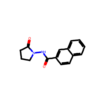 O=C(NN1CCCC1=O)c1ccc2ccccc2c1